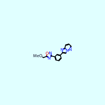 COCc1nc(-c2cccc(-c3cn4ncccc4n3)c2)no1